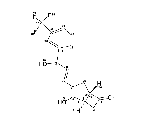 O=C1C[C@H]2C(O)C(C=CC(O)c3cccc(C(F)(F)F)c3)C[C@H]12